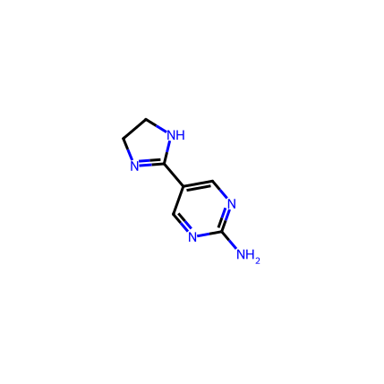 Nc1ncc(C2=NCCN2)cn1